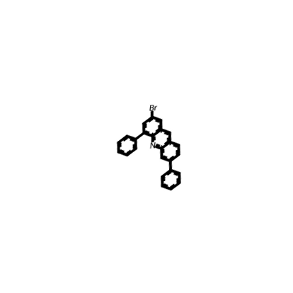 Brc1cc(-c2ccccc2)c2nc3cc(-c4ccccc4)ccc3cc2c1